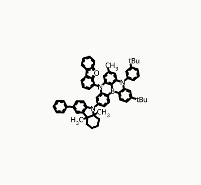 Cc1cc2c3c(c1)N(c1cccc4c1oc1ccccc14)c1cc(N4c5ccc(-c6ccccc6)cc5C5(C)CCCCC45C)ccc1B3c1ccc(C(C)(C)C)cc1N2c1cccc(C(C)(C)C)c1